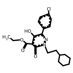 CCOC(=O)c1c(O)c(-c2ccc(Cl)cc2)nn(CCC2CCCCC2)c1=O